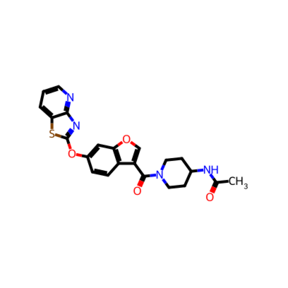 CC(=O)NC1CCN(C(=O)c2coc3cc(Oc4nc5ncccc5s4)ccc23)CC1